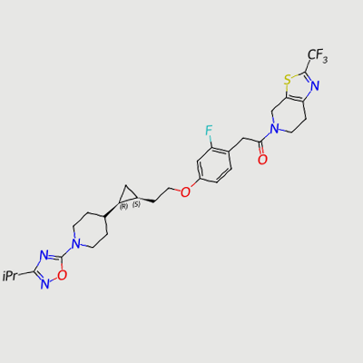 CC(C)c1noc(N2CCC([C@H]3C[C@H]3CCOc3ccc(CC(=O)N4CCc5nc(C(F)(F)F)sc5C4)c(F)c3)CC2)n1